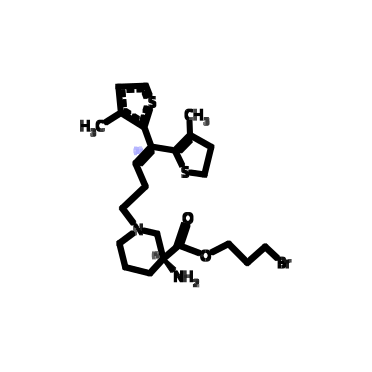 CC1=C(/C(=C\CCN2CCC[C@@](N)(C(=O)OCCCBr)C2)c2sccc2C)SCC1